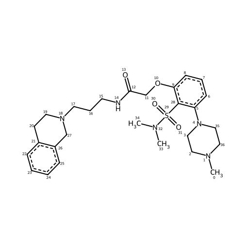 CN1CCN(c2cccc(OCC(=O)NCCCN3CCc4ccccc4C3)c2S(=O)(=O)N(C)C)CC1